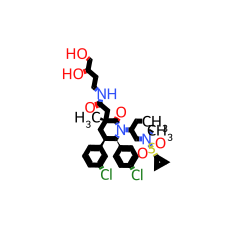 CCC(CN(C)S(=O)(=O)C1CC1)N1C(=O)[C@@](C)(CC(=O)NCCC(O)CO)C[C@H](c2cccc(Cl)c2)[C@H]1c1ccc(Cl)cc1